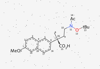 COc1ccc2cc([C@](C)(CCN(OC(C)(C)C)C(C)=O)C(=O)O)ccc2c1